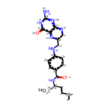 C[Se]CC[C@H](NC(=O)c1ccc(NCc2cnc3nc(N)[nH]c(=O)c3n2)cc1)C(=O)O